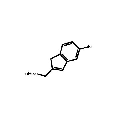 CCCCCCCC1=Cc2cc(Br)ccc2C1